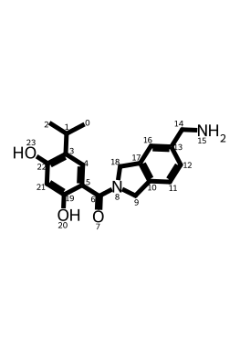 CC(C)c1cc(C(=O)N2Cc3ccc(CN)cc3C2)c(O)cc1O